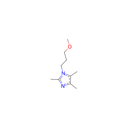 COCCCn1c(C)nc(C)c1C